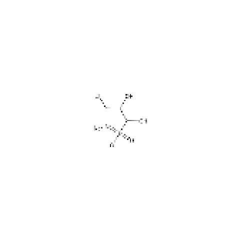 O=S(=O)([O-])C(O)C(O)CCl.[Na+]